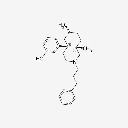 C=C1CC[C@]2(C)CN(CCCc3ccccc3)CC[C@]2(c2cccc(O)c2)C1